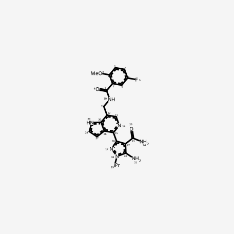 COc1ccc(F)cc1C(=O)NCc1cnc(-c2nn(C(C)C)c(N)c2C(N)=O)c2cc[nH]c12